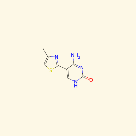 Cc1csc(-c2c[nH]c(=O)nc2N)n1